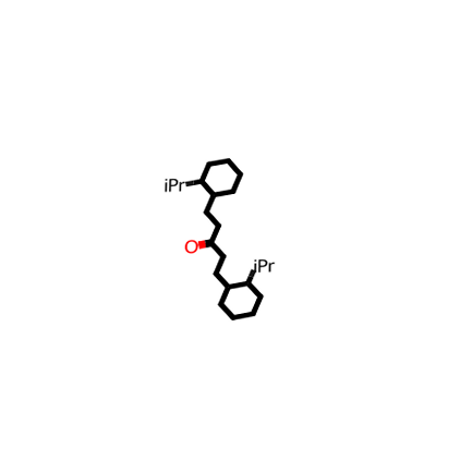 CC(C)C1CCCCC1CCC(=O)CCC1CCCCC1C(C)C